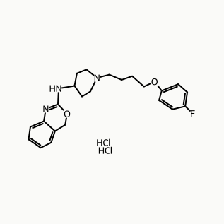 Cl.Cl.Fc1ccc(OCCCCN2CCC(NC3=Nc4ccccc4CO3)CC2)cc1